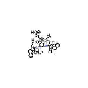 CCOC(=O)C1(C(=O)NCCS(=O)(=O)O)CC(/C=C/C2=[N+](CC)c3ccc4ccccc4c3C2(C)C)=CC(=C/C=C2/N(CC)c3ccc4ccccc4c3C2(C)C)/C1